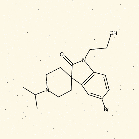 CC(C)N1CCC2(CC1)C(=O)N(CCO)c1ccc(Br)cc12